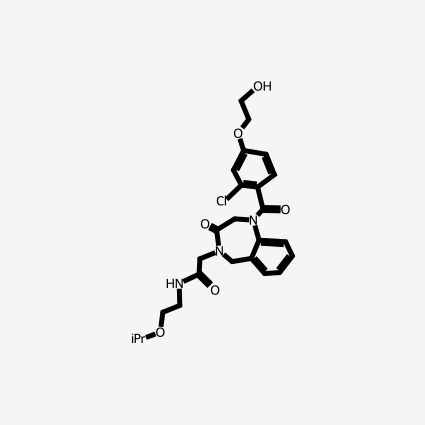 CC(C)OCCNC(=O)CN1Cc2ccccc2N(C(=O)c2ccc(OCCO)cc2Cl)CC1=O